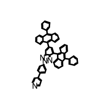 c1ccc(-c2c3ccccc3c(-c3cc(-c4c5ccccc5c(-c5ccccc5)c5ccccc45)c4nn(-c5ccc(-c6ccncc6)cc5)nc4c3)c3ccccc23)cc1